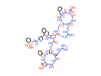 N=C(N)NCC/C=C1\NC(=O)/C(=C\CCCNC(=O)C(CCC(=O)NCCCC[C@@H]2NC(=O)/C(=C/c3ccccc3)NC(=O)[C@H](CC(=O)O)NC(=O)CNC(=O)[C@H](CCCNC(=N)N)NC2=O)NC(=O)/C(=C/c2ccccc2)NC(=O)c2ccc(NN=Cc3ccccc3S(=O)(=O)O)nc2)NC(=O)[C@@H](Cc2ccccc2)NC(=O)/C(=C\C(=O)O)NC(=O)CNC1=O